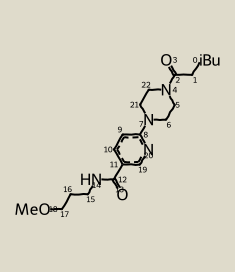 CCC(C)CC(=O)N1CCN(c2ccc(C(=O)NCCCOC)cn2)CC1